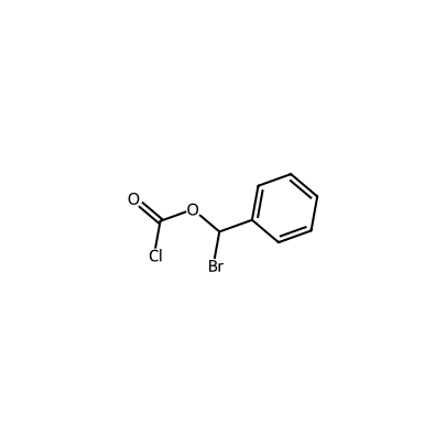 O=C(Cl)OC(Br)c1ccccc1